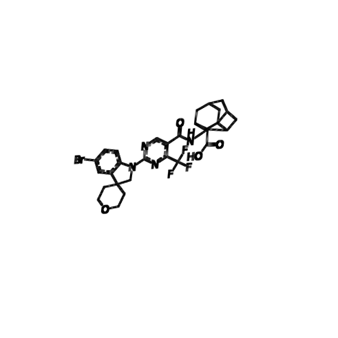 O=C(NC1(C(=O)O)C2CC3CC4CC1C4(C3)C2)c1cnc(N2CC3(CCOCC3)c3cc(Br)ccc32)nc1C(F)(F)F